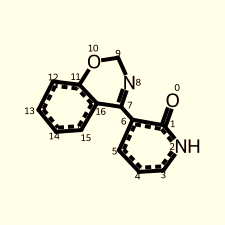 O=c1[nH]cccc1C1=NCOc2ccccc21